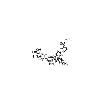 CCOC(=O)c1cccc(-c2ccc(C(Oc3cc(N4CCC5(CC4)CN[C@H](C(=O)O)C5)nc(N)n3)C(F)(F)F)c(-n3ccc(C)n3)c2)c1